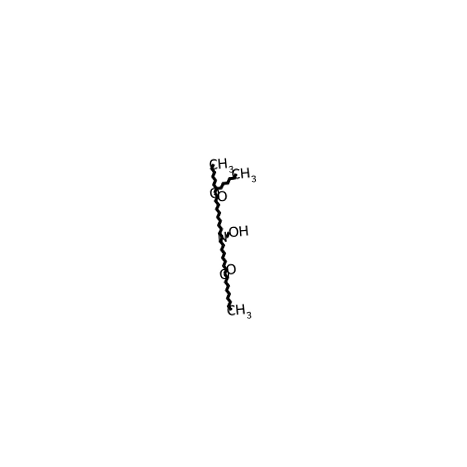 CCCCCCCCCOC(=O)CCCCCCCN(CCO)CCCCCCCCCC(=O)OC(CCCCCC)CCCCCC